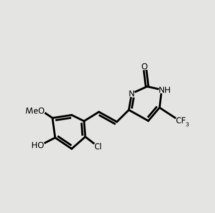 COc1cc(C=Cc2cc(C(F)(F)F)[nH]c(=O)n2)c(Cl)cc1O